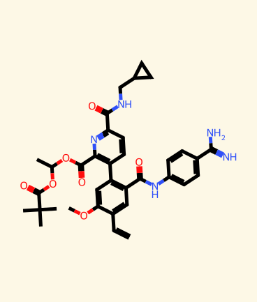 C=Cc1cc(C(=O)Nc2ccc(C(=N)N)cc2)c(-c2ccc(C(=O)NCC3CC3)nc2C(=O)OC(C)OC(=O)C(C)(C)C)cc1OC